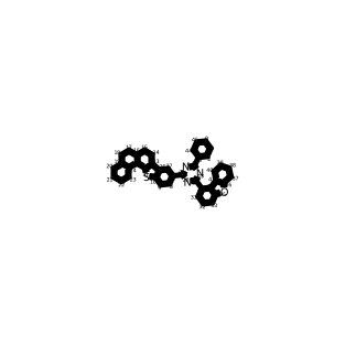 c1ccc(-c2nc(-c3ccc4sc5c(ccc6ccc7ccccc7c65)c4c3)nc(-c3cccc4oc5ccccc5c34)n2)cc1